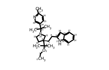 CCOC(C)(C)[C@]1(CCc2cc3ccccc3[nH]2)CCN(C(C)(C)c2ccc(C)nc2)C1